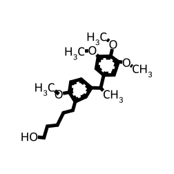 COc1ccc(C(C)c2cc(OC)c(OC)c(OC)c2)cc1CCCCCO